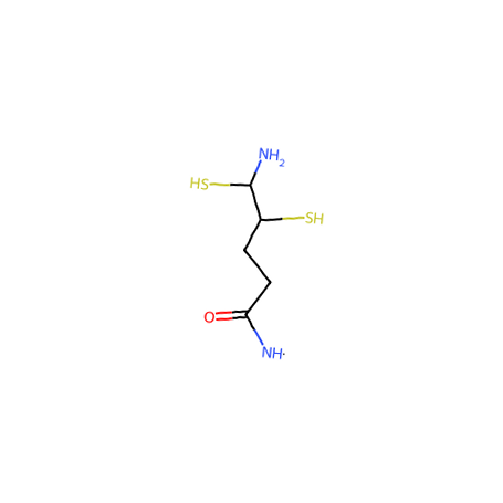 [NH]C(=O)CCC(S)C(N)S